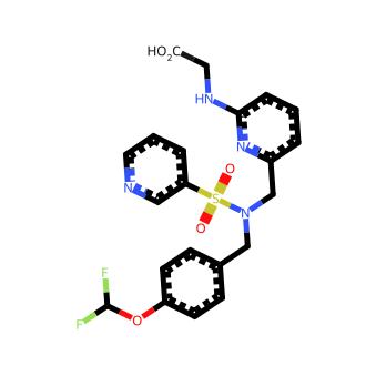 O=C(O)CNc1cccc(CN(Cc2ccc(OC(F)F)cc2)S(=O)(=O)c2cccnc2)n1